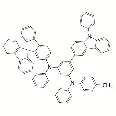 Cc1ccc(N(c2ccccc2)c2cc(-c3ccc4c(c3)c3ccccc3n4-c3ccccc3)cc(N(c3ccccc3)c3ccc4c(c3)C3(C5=C(CCC=C5)c5ccccc53)c3ccccc3-4)c2)cc1